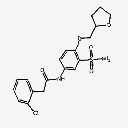 NS(=O)(=O)c1cc(NC(=O)Cc2ccccc2Cl)ccc1OCC1CCCO1